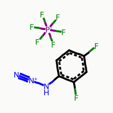 F[P-](F)(F)(F)(F)F.N#[N+]Nc1ccc(F)cc1F